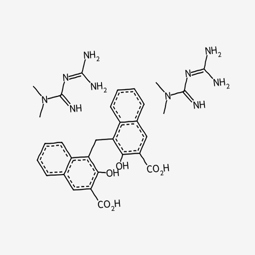 CN(C)C(=N)N=C(N)N.CN(C)C(=N)N=C(N)N.O=C(O)c1cc2ccccc2c(Cc2c(O)c(C(=O)O)cc3ccccc23)c1O